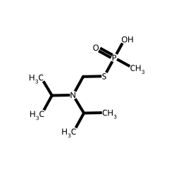 CC(C)N(CSP(C)(=O)O)C(C)C